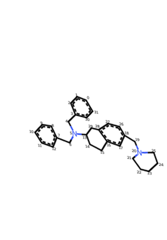 c1ccc(CN(Cc2ccccc2)C2CCc3cc(CN4CCCCC4)ccc3C2)cc1